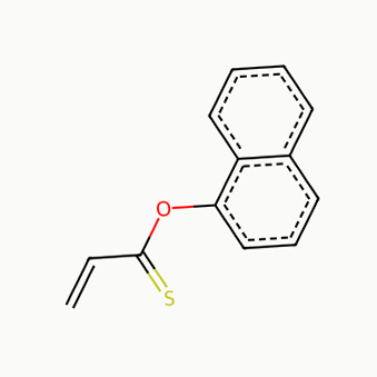 C=CC(=S)Oc1cccc2ccccc12